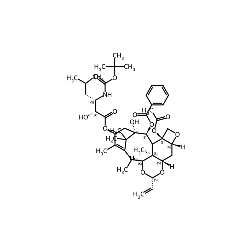 C=C[C@H]1O[C@H]2C[C@H]3OC[C@@]3(OC(C)=O)C3[C@H](OC(=O)c4ccccc4)[C@]4(O)C[C@H](OC(=O)[C@H](O)[C@H](CC(C)C)NC(=O)OC(C)(C)C)C(C)=C(C(C)[C@H](O1)[C@@]32C)C4(C)C